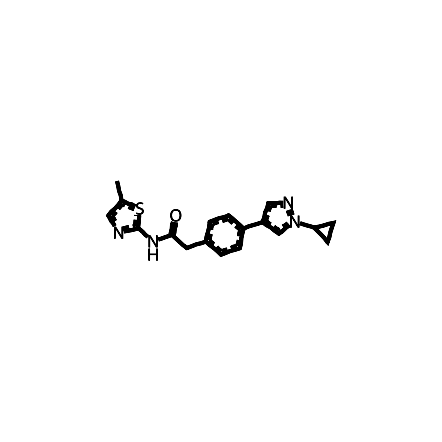 Cc1cnc(NC(=O)Cc2ccc(-c3cnn(C4CC4)c3)cc2)s1